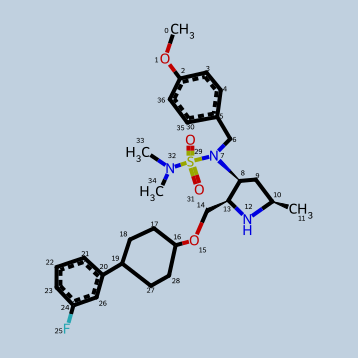 COc1ccc(CN([C@H]2C[C@@H](C)N[C@H]2COC2CCC(c3cccc(F)c3)CC2)S(=O)(=O)N(C)C)cc1